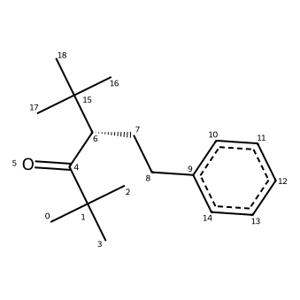 CC(C)(C)C(=O)[C@@H](CCc1ccccc1)C(C)(C)C